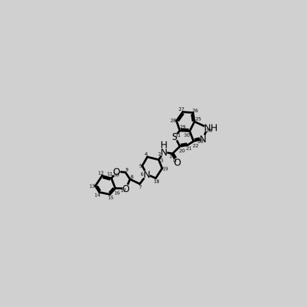 O=C(NC1CCN(CC2COc3ccccc3O2)CC1)C1=Cc2n[nH]c3cccc(c23)S1